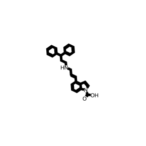 O=C(O)n1ccc2c(/C=C/CNCCC(c3ccccc3)c3ccccc3)cccc21